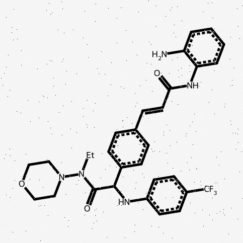 CCN(C(=O)C(Nc1ccc(C(F)(F)F)cc1)c1ccc(C=CC(=O)Nc2ccccc2N)cc1)N1CCOCC1